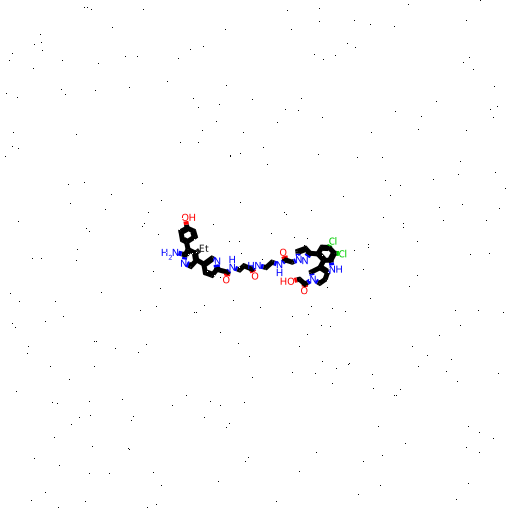 CCc1c(-c2ccc(C(=O)NCCC(=O)NCCNC(=O)Cn3ccc(-c4cc(Cl)c(Cl)c5[nH]c6c(c45)CN(C(=O)CO)CC6)n3)nc2)cnc(N)c1-c1ccc(O)cc1